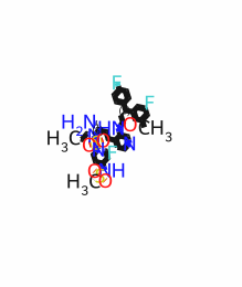 CCCN([C@H](CN)CCc1c(F)cncc1NC(=O)C[C@@H](c1ccc(F)cc1)c1cc(C)cc(F)c1)S(=O)(=O)N1CCC(NS(C)(=O)=O)CC1